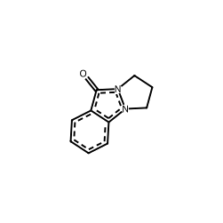 O=c1c2ccccc2n2n1CCC2